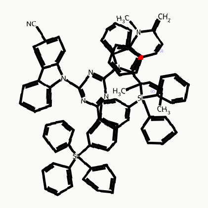 C=C(/C=C\c1c(C(C)(/C=C\C)[Si](c2ccccc2)(c2ccccc2)c2ccccc2)n(-c2nc(-c3cccc([Si](c4ccccc4)(c4ccccc4)c4ccccc4)c3)nc(-n3c4ccccc4c4cc(C#N)ccc43)n2)c2ccccc12)N(C)c1ccccc1